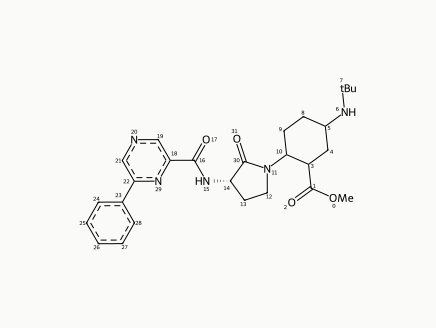 COC(=O)C1CC(NC(C)(C)C)CCC1N1CC[C@H](NC(=O)c2cncc(-c3ccccc3)n2)C1=O